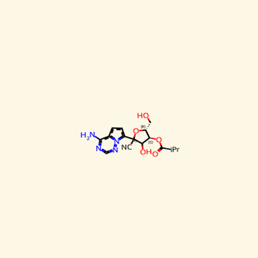 CC(C)C(=O)O[C@H]1C(O)[C@](C#N)(c2ccc3c(N)ncnn23)O[C@@H]1CO